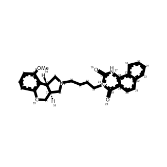 COc1cccc2c1[C@@H]1CN(CCCCn3c(=O)[nH]c4c(ccc5ccccc54)c3=O)C[C@H]1CO2